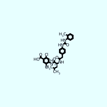 Cc1ccccc1NC(=O)Nc1ccc(CC(=O)N[C@@H](CC(C)C)C(=O)Nc2cc(Cl)c(C(=O)O)cc2Cl)cc1